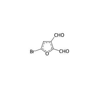 O=Cc1cc(Br)oc1C=O